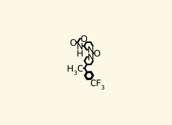 CC(c1ccc(C(F)(F)F)cc1)C1CCN(C(=O)N2CCC3OCC(=O)NC3C2)CC1